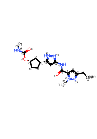 COCc1cc(C(=O)Nc2cc([C@@H]3CC[C@H](OC(=O)NC(C)C)C3)[nH]n2)n(C)n1